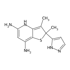 CC1=C2NC(N)=CC(N)=C2SC1(C)c1ccn[nH]1